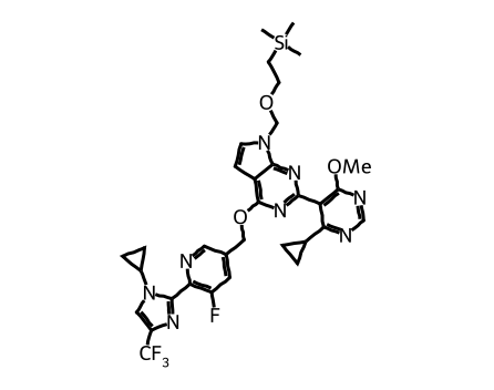 COc1ncnc(C2CC2)c1-c1nc(OCc2cnc(-c3nc(C(F)(F)F)cn3C3CC3)c(F)c2)c2ccn(COCC[Si](C)(C)C)c2n1